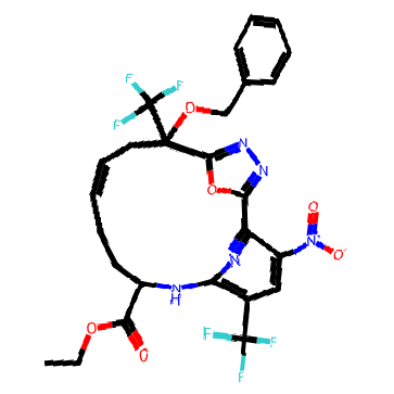 CCOC(=O)C1CCC=CCC(OCc2ccccc2)(C(F)(F)F)c2nnc(o2)-c2nc(c(C(F)(F)F)cc2[N+](=O)[O-])N1